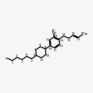 CCCCCCC1CCC(c2ccc(CCC=CF)c(F)c2)CC1